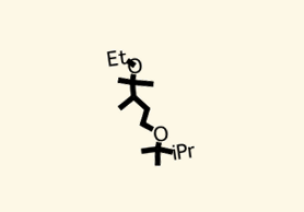 CCOC(C)(C)C(C)CCOC(C)(C)C(C)C